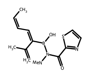 C=C(C)/C(=C\C=C/C)B(O)N(NC)C(=O)c1nccs1